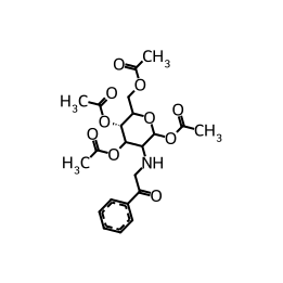 CC(=O)OCC1OC(OC(C)=O)C(NCC(=O)c2ccccc2)C(OC(C)=O)[C@@H]1OC(C)=O